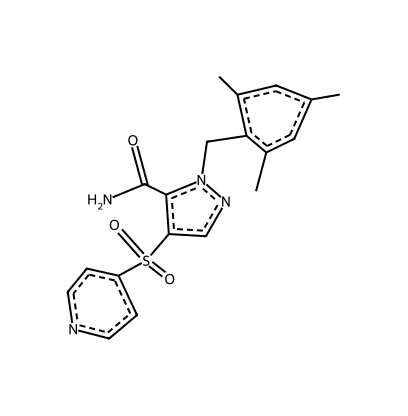 Cc1cc(C)c(Cn2ncc(S(=O)(=O)c3ccncc3)c2C(N)=O)c(C)c1